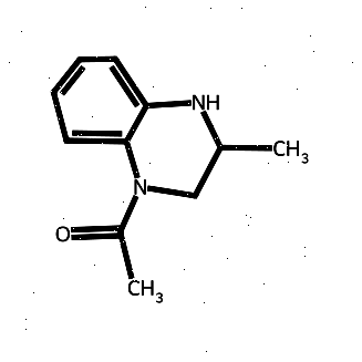 CC(=O)N1CC(C)Nc2ccccc21